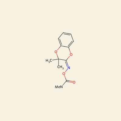 CNC(=O)ON=C1Oc2ccccc2OC1(C)C